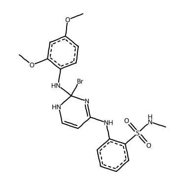 CNS(=O)(=O)c1ccccc1NC1=NC(Br)(Nc2ccc(OC)cc2OC)NC=C1